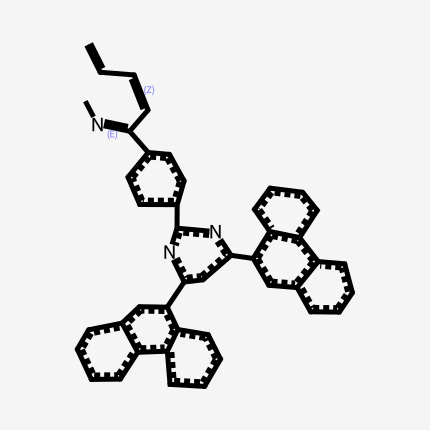 C=C/C=C\C(=N/C)c1ccc(-c2nc(-c3cc4ccccc4c4ccccc34)cc(-c3cc4ccccc4c4ccccc34)n2)cc1